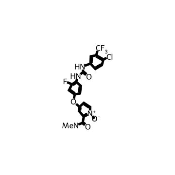 CNC(=O)c1cc(Oc2ccc(NC(=O)Nc3ccc(Cl)c(C(F)(F)F)c3)c(F)c2)cc[n+]1[O-]